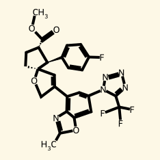 COC(=O)[C@H]1CC[C@@]2(C=C(c3cc(-n4nnnc4C(F)(F)F)cc4oc(C)nc34)CO2)[C@@H]1c1ccc(F)cc1